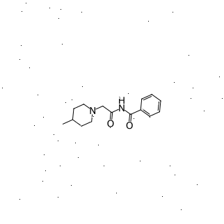 CC1CCN(CC(=O)NC(=O)c2ccccc2)CC1